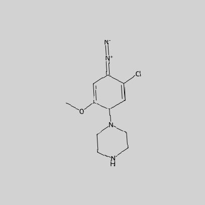 COC1=CC(=[N+]=[N-])C(Cl)=CC1N1CCNCC1